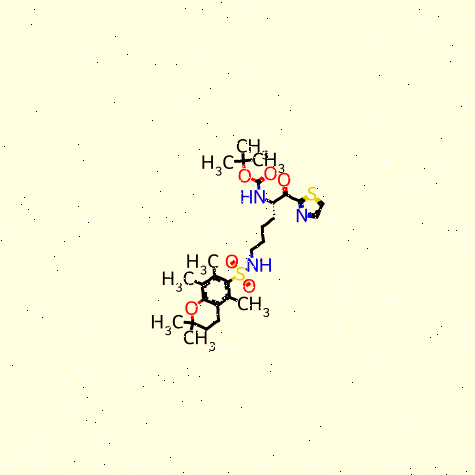 Cc1c(C)c(S(=O)(=O)NCCCC[C@H](NC(=O)OC(C)(C)C)C(=O)c2nccs2)c(C)c2c1OC(C)(C)CC2